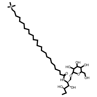 CC[C@@H](O)[C@@H](O)[C@H](COC1OC(CO)C(O)C(O)C1O)NC(=O)CCCCCCCCCCCCCCCCCCCCCCC[Si](C)(C)C